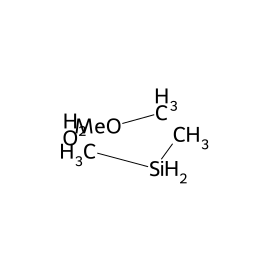 COC.C[SiH2]C.O